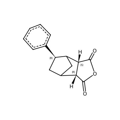 O=C1OC(=O)[C@H]2C3CC(C[C@H]3c3ccccc3)[C@@H]12